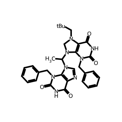 CC(N1CN(CC(C)(C)C)c2c1n(Cc1ccccc1)c(=O)[nH]c2=O)n1cnc2c(=O)[nH]c(=O)n(Cc3ccccc3)c21